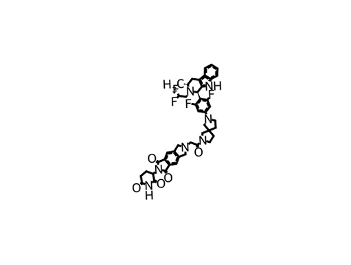 C[C@@H]1Cc2c([nH]c3ccccc23)[C@@H](c2c(F)cc(N3CCC4(CCN(C(=O)CN5Cc6cc7c(cc6C5)C(=O)N(C5CCC(=O)NC5=O)C7=O)C4)C3)cc2F)N1CC(F)F